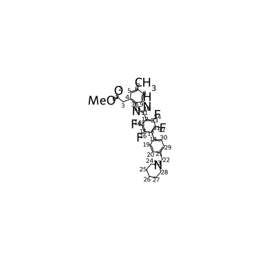 COC(=O)Cc1cc(C)cc2[nH]c(-c3c(F)c(F)c(-c4ccc(CN5CCCCC5)cc4)c(F)c3F)nc12